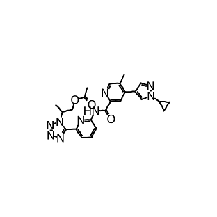 CC(=O)OCC(C)n1nnnc1-c1cccc(NC(=O)c2cc(-c3cnn(C4CC4)c3)c(C)cn2)n1